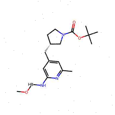 COBNc1cc(C[C@@H]2CCN(C(=O)OC(C)(C)C)C2)cc(C)n1